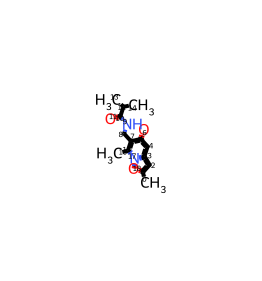 Cc1cc2cc(=O)c(CNC(=O)C(C)C)c(C)n2o1